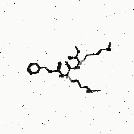 CNCCCC[C@H](NC(=O)OCc1ccccc1)C(=O)N[C@@H](CCCCNC)C(=O)OC